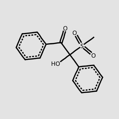 CS(=O)(=O)C(O)(C(=O)c1ccccc1)c1ccccc1